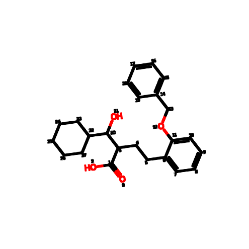 O=C(O)C(CCc1ccccc1OCc1ccccc1)C(O)C1CCCCC1